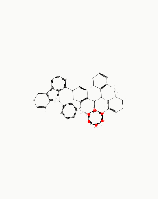 C1=CC2=C(CC1)C(C1C3=C(CC(c4cccc5c6c(n(-c7ccccc7)c45)C=CCC6)C=C3)Sc3ccccc31)C1C(c3ccccc3)=CCCC1S2